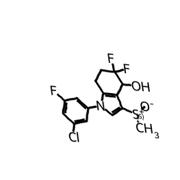 C[S@@+]([O-])c1cn(-c2cc(F)cc(Cl)c2)c2c1C(O)C(F)(F)CC2